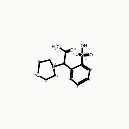 CC(=O)C(c1ccccc1S(=O)(=O)O)N1CCOCC1